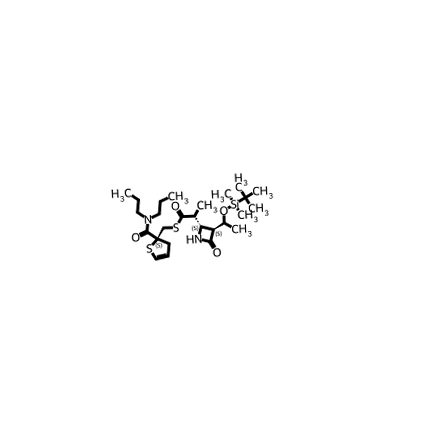 CCCN(CCC)C(=O)[C@]1(CSC(=O)C(C)[C@H]2NC(=O)[C@@H]2C(C)O[Si](C)(C)C(C)(C)C)CC=CS1